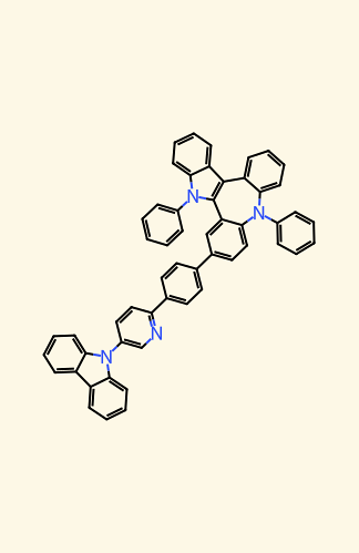 c1ccc(N2c3ccccc3-c3c(n(-c4ccccc4)c4ccccc34)-c3cc(-c4ccc(-c5ccc(-n6c7ccccc7c7ccccc76)cn5)cc4)ccc32)cc1